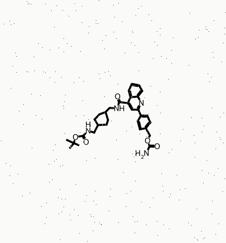 CC(C)(C)OC(=O)NCC1CCC(CNC(=O)c2cc(-c3ccc(COC(N)=O)cc3)nc3ccccc23)CC1